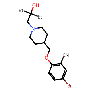 CCC(O)(CC)CN1CCC(COc2ccc(Br)cc2C#N)CC1